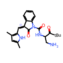 Cc1cc(C)c(/C=C2\C(=O)N(C(=O)NC(CN)C(=O)C(C)(C)C)c3ccccc32)[nH]1